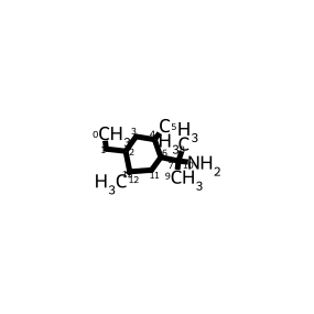 CCC1CC(C)C(C(C)(C)N)CC1C